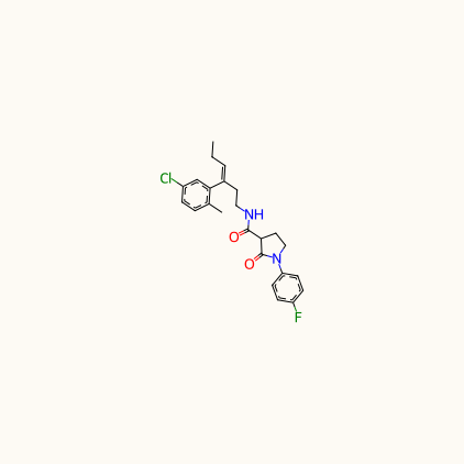 CC/C=C(/CCNC(=O)C1CCN(c2ccc(F)cc2)C1=O)c1cc(Cl)ccc1C